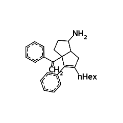 C=C(c1ccccc1)C12CCC(N)C1CC(CCCCCC)=C2c1ccccc1